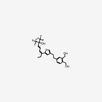 CC/C(=C/C=C/C(O)(C(F)(F)F)C(F)(F)F)c1cc(CCc2ccc(CO)c(CO)c2)cs1